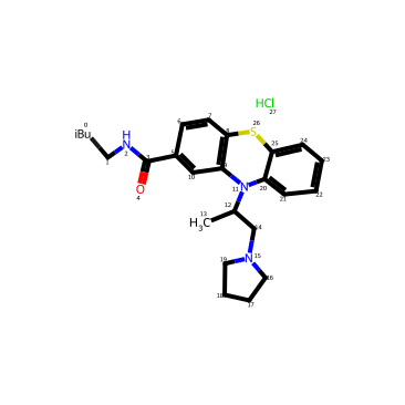 CCC(C)CNC(=O)c1ccc2c(c1)N(C(C)CN1CCCC1)c1ccccc1S2.Cl